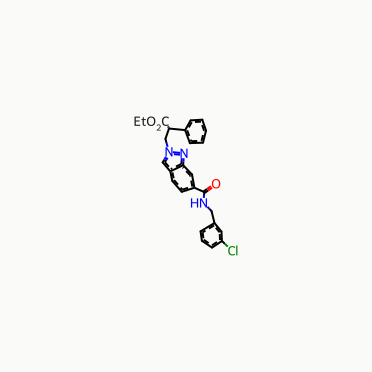 CCOC(=O)C(Cn1cc2ccc(C(=O)NCc3cccc(Cl)c3)cc2n1)c1ccccc1